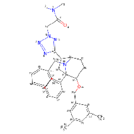 CN(C)C(=O)Cn1nnc(C2CC3(c4ccccc4)C(OCc4cc(C(F)(F)F)cc(C(F)(F)F)c4)CCC2N3Cc2ccccc2)n1